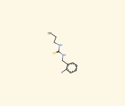 O=NCCNC(=S)NCc1ccccc1I